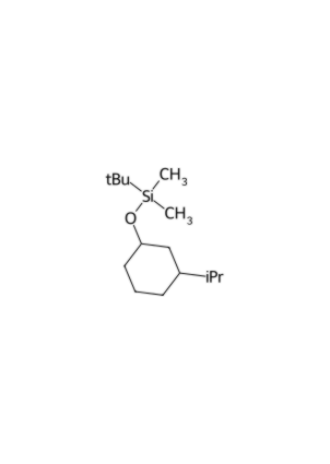 CC(C)C1CCCC(O[Si](C)(C)C(C)(C)C)C1